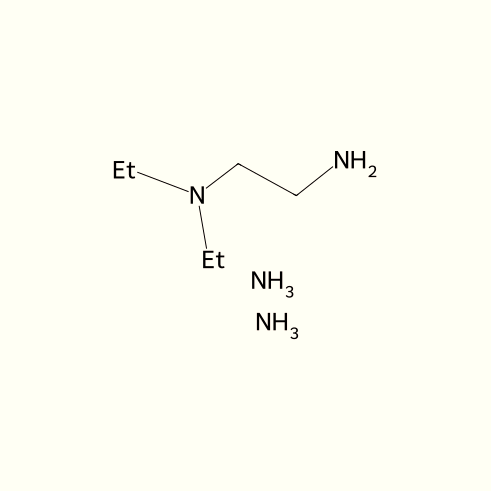 CCN(CC)CCN.N.N